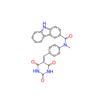 CN(C(=O)c1ccc2[nH]c3ccccc3c2c1)c1ccc(C=C2C(=O)NC(=O)NC2=O)cc1